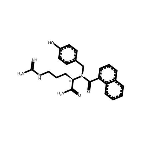 N=C(N)NCCC[C@H](C(N)=O)N(Cc1ccc(O)cc1)C(=O)c1cccc2ccccc12